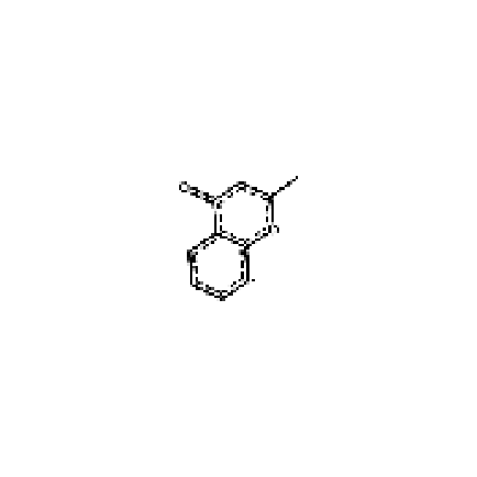 Cc1cc(=O)c2ccc[c]c2o1